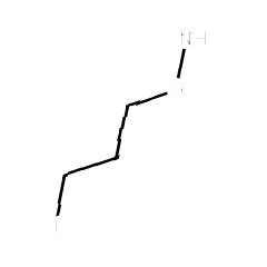 NOCCCI